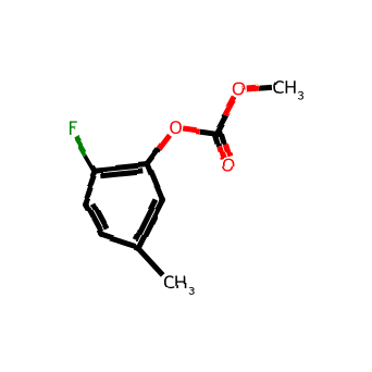 COC(=O)Oc1cc(C)ccc1F